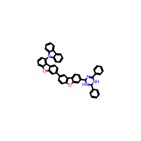 c1ccc(C2=NC(c3ccc4c(c3)oc3ccc(-c5ccc6c(c5)oc5cccc(-n7c8ccccc8c8ccccc87)c56)cc34)NC(c3ccccc3)N2)cc1